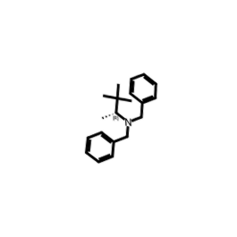 C[C@@H](N(Cc1ccccc1)Cc1ccccc1)C(C)(C)C